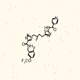 O=C(Nc1nnc(CCC(F)Cn2cc(C(=O)NCc3cc(OC(F)(F)F)ccc3F)nn2)s1)c1ccncc1